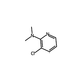 CN(C)c1ncc[c]c1Cl